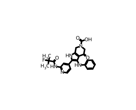 CC(C)(F)C(=O)Nc1cc(-c2[nH]c3c(c2Nc2ccccc2)C(=O)CN(C(=O)O)C3)ccn1